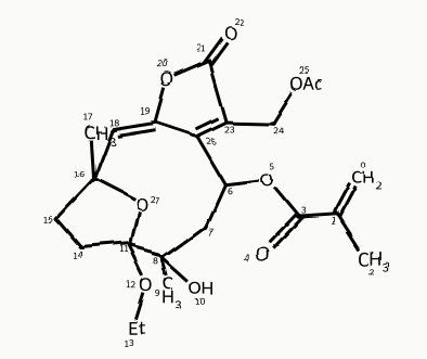 C=C(C)C(=O)OC1CC(C)(O)C2(OCC)CCC(C)(/C=C3/OC(=O)C(COC(C)=O)=C31)O2